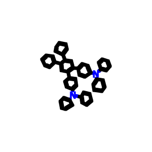 c1ccc(-c2cc(-c3ccc(N(c4ccccc4)c4ccccc4)cc3)c(-c3ccc(N(c4ccccc4)c4ccccc4)cc3)cc2-c2ccccc2)cc1